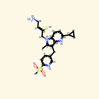 Cc1c(Cc2ccc(S(C)(=O)=O)nc2)c2nc(C3CC3)ccc2n1C/C(F)=C/CN